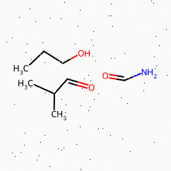 CC(C)C=O.CCCO.NC=O